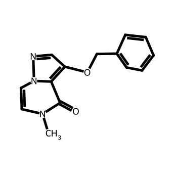 Cn1ccn2ncc(OCc3ccccc3)c2c1=O